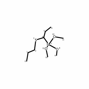 CCCSC(CC)[Si](OC)(OC)OC